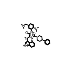 C[C@H](c1c[nH]c2ccccc12)[C@@H](NC(=O)N1CCC(c2ccccc2)CC1)C(=O)Nc1cc(CN(C)C)ccc1N(C)C